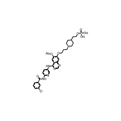 COc1cc2c(Nc3ccc(NC(=O)c4cccc(Cl)c4)nc3)ncnc2cc1OCCCN1CCC(CCOP(=O)(O)O)CC1